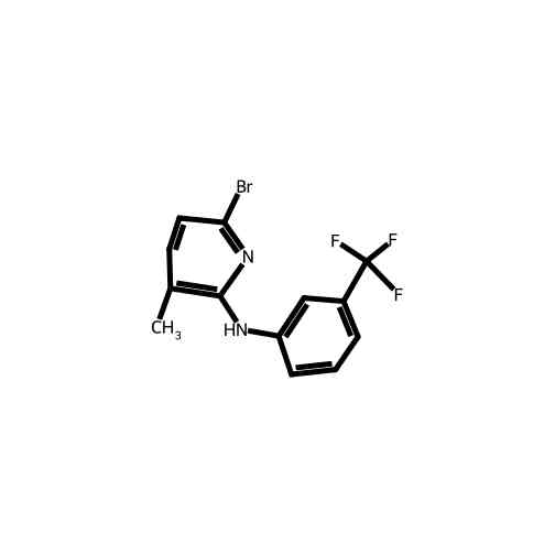 Cc1ccc(Br)nc1Nc1cccc(C(F)(F)F)c1